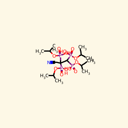 CC(C)OP(=O)(O)[C](C(C#N)(P(=O)(O)OC(C)C)P(=O)(O)OC(C)C)P(=O)(O)OC(C)C